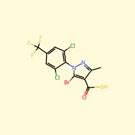 Cc1nn(-c2c(Cl)cc(C(F)(F)F)cc2Cl)c(Br)c1C(=O)S